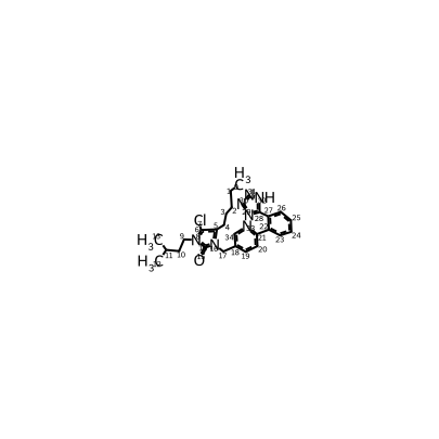 CCCCCc1c(Cl)n(CCC(C)C)c(=O)n1Cc1ccc(-c2ccccc2-c2nnn[nH]2)nc1